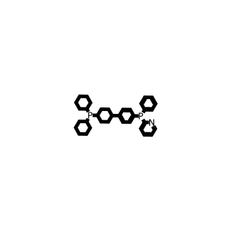 c1ccc(P(c2ccc(C3CCC(P(C4CCCCC4)C4CCCCC4)CC3)cc2)c2ccccn2)cc1